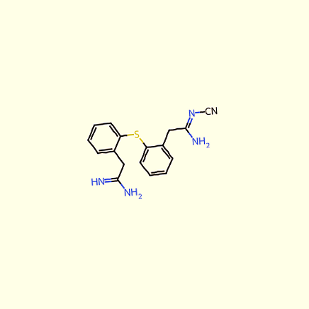 N#C/N=C(\N)Cc1ccccc1Sc1ccccc1CC(=N)N